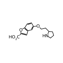 O=C(O)c1cc2cc(OCCC3CCCN3)ccc2o1